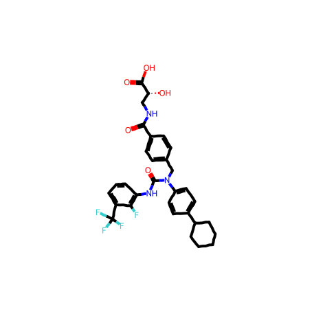 O=C(NC[C@@H](O)C(=O)O)c1ccc(CN(C(=O)Nc2cccc(C(F)(F)F)c2F)c2ccc(C3CCCCC3)cc2)cc1